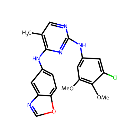 COc1cc(Nc2ncc(C)c(Nc3ccc4ocnc4c3)n2)cc(Cl)c1OC